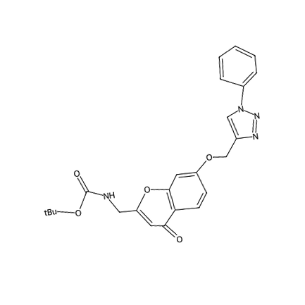 CC(C)(C)OC(=O)NCc1cc(=O)c2ccc(OCc3cn(-c4ccccc4)nn3)cc2o1